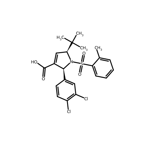 Cc1ccccc1S(=O)(=O)N1[C@@H](c2ccc(Cl)c(Cl)c2)C(C(=O)O)=C[C@H]1C(C)(C)C